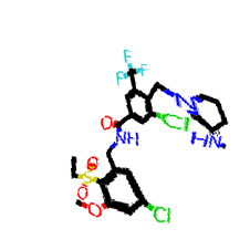 CCS(=O)(=O)c1c(CNC(=O)c2cc(Cl)c(CN3CCC[C@H](NC)C3)c(C(F)(F)F)c2)cc(Cl)cc1OC